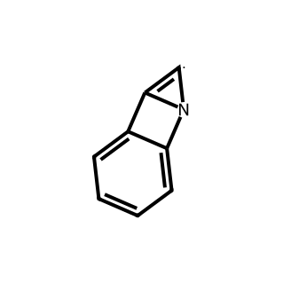 [c]1c2c3ccccc3n1-2